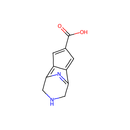 O=C(O)C1=CC2=C3CNCC(=N3)C2=C1